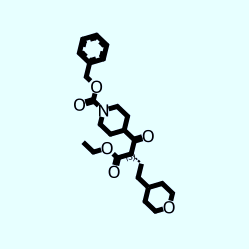 CCOC(=O)[C@@H](CCC1CCOCC1)C(=O)C1CCN(C(=O)OCc2ccccc2)CC1